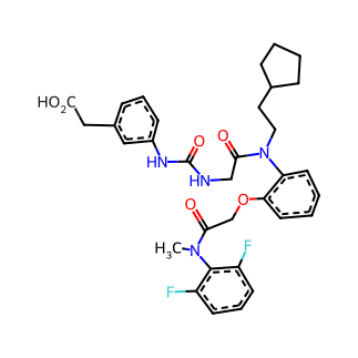 CN(C(=O)COc1ccccc1N(CCC1CCCC1)C(=O)CNC(=O)Nc1cccc(CC(=O)O)c1)c1c(F)cccc1F